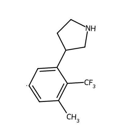 Cc1c[c]cc(C2CCNC2)c1C(F)(F)F